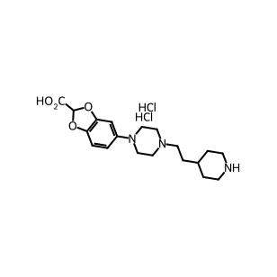 Cl.Cl.O=C(O)C1Oc2ccc(N3CCN(CCC4CCNCC4)CC3)cc2O1